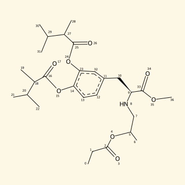 CCC(=O)OC(C)CN[C@@H](Cc1ccc(OC(=O)C(C)C(C)C)c(OC(=O)C(C)C(C)C)c1)C(=O)OC